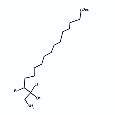 CCCCCCCCCCCCCCCCCCCCCCC(CC)C(O)(CC)CN